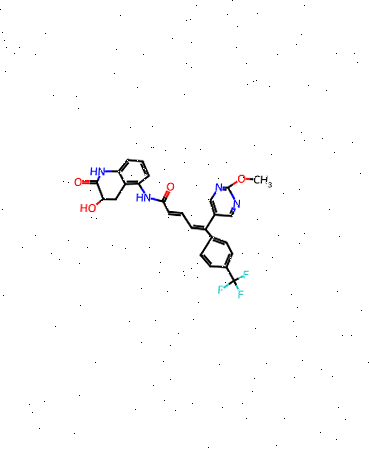 COc1ncc(/C(=C\C=C\C(=O)Nc2cccc3c2CC(O)C(=O)N3)c2ccc(C(F)(F)F)cc2)cn1